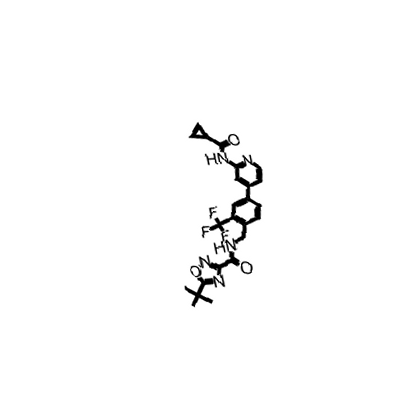 CC(C)(C)c1nc(C(=O)NCc2ccc(-c3ccnc(NC(=O)C4CC4)c3)cc2C(F)(F)F)no1